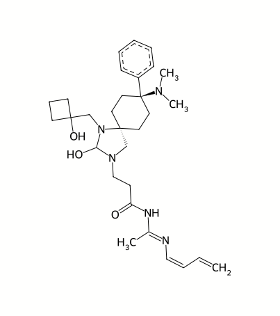 C=C/C=C\N=C(/C)NC(=O)CCN1C[C@]2(CC[C@](c3ccccc3)(N(C)C)CC2)N(CC2(O)CCC2)C1O